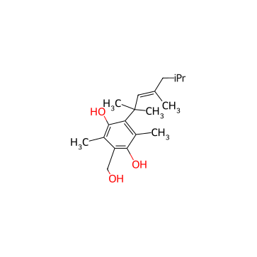 C/C(=C\C(C)(C)c1c(C)c(O)c(CO)c(C)c1O)CC(C)C